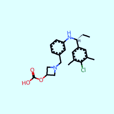 CC[C@@H](Nc1cccc(CN2CC(OC(=O)O)C2)c1)c1cc(C)c(Cl)c(C)c1